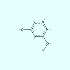 COc1cc([O])cnn1